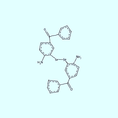 Nc1ccc(C(=O)c2ccccc2)cc1[Se][Se]c1cc(C(=O)c2ccccc2)ccc1N